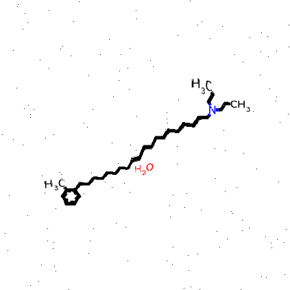 CCCN(CCC)CCCCCCCCCCCCCCCCCCCCc1ccccc1C.O